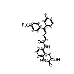 Cc1cccc(C(=CC=CC(=O)Nc2cccc3c2CC(O)C(=O)N3)c2ccc(C(F)(F)F)cc2)c1